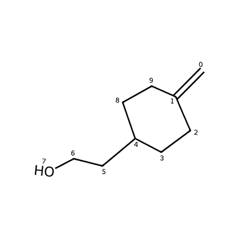 C=C1CCC(CCO)CC1